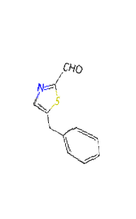 O=Cc1ncc(Cc2ccccc2)s1